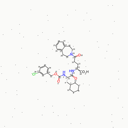 O=C(N[C@@H](CC1CCCCC1)C(=O)N[C@@H](CCC(=O)N1CCc2ccccc2CC1)C(=O)O)OCc1cccc(Cl)c1